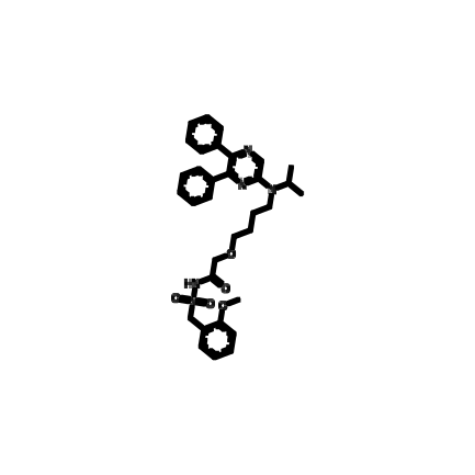 COc1ccccc1CS(=O)(=O)NC(=O)COCCCCN(c1cnc(-c2ccccc2)c(-c2ccccc2)n1)C(C)C